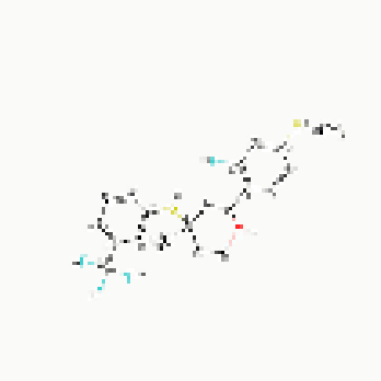 CSc1ccc(C2CC(C)(Sc3cccc(C(F)(F)F)c3)CCO2)c(F)c1